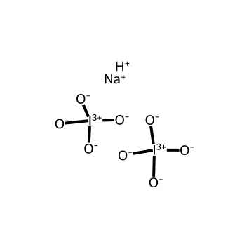 [H+].[Na+].[O-][I+3]([O-])([O-])[O-].[O-][I+3]([O-])([O-])[O-]